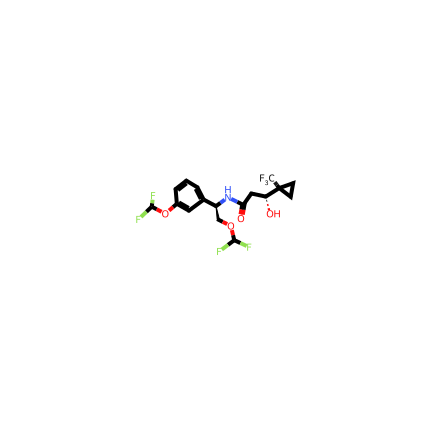 O=C(C[C@@H](O)C1(C(F)(F)F)CC1)N[C@@H](COC(F)F)c1cccc(OC(F)F)c1